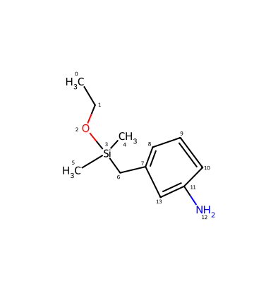 CCO[Si](C)(C)Cc1cccc(N)c1